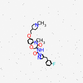 CN1CCC(CCOc2ccc3c(c2)N(C)C(=O)[C@@H](NC(=O)n2cc(Cc4cccc(F)c4)cn2)CO3)CC1